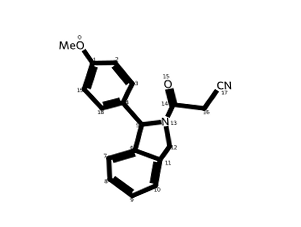 COc1ccc(C2c3ccccc3CN2C(=O)CC#N)cc1